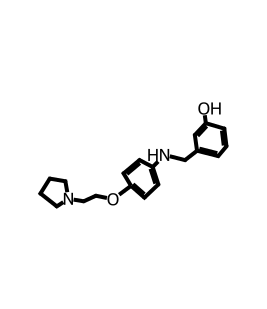 Oc1cccc(CNc2ccc(OCCN3CCCC3)cc2)c1